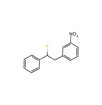 O=[N+]([O-])c1cccc(CC(F)c2ccccc2)c1